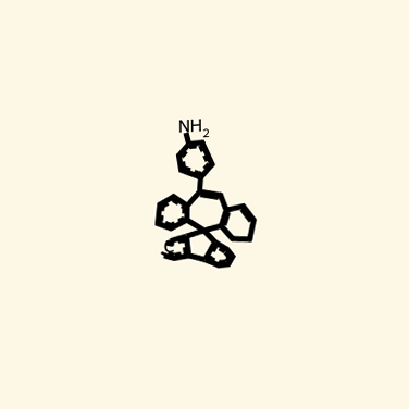 Nc1ccc(C2=CC3=C(CCC=C3)C3(c4ccccc42)c2ccccc2-c2ccccc23)cc1